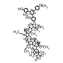 CCCCNC(=O)C(C(CC(C)(C)C(C(=O)OCC)C(CC(C)(C)C1C(=O)OC(=O)C1C)C(=O)O)C(=O)O)C(C)(C)CC1C(=O)N(CCCC)C(=O)C1C(C)(C)CC(C(=O)O)C(C(=O)Oc1ccc(-c2nc(-c3ccc(OC)cc3)nc(-c3ccc(O)cc3O)n2)c(O)c1)C(C)(C)CC